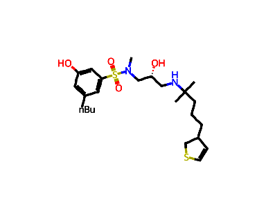 CCCCc1cc(O)cc(S(=O)(=O)N(C)C[C@H](O)CNC(C)(C)CCCC2C=CSC2)c1